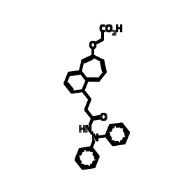 O=C(O)COC1=CC2=CC=CC(CCC(=O)NN(c3ccccc3)c3ccccc3)C2=CC=C1